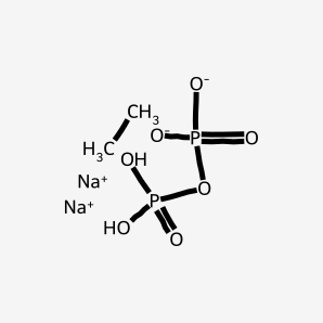 CC.O=P([O-])([O-])OP(=O)(O)O.[Na+].[Na+]